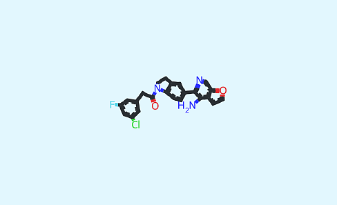 Nc1c(-c2ccc3c(c2)CCN3C(=O)Cc2cc(F)cc(Cl)c2)ncc2occc12